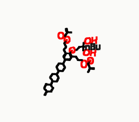 C=C(C)C(=O)OCCCc1cc(C2CCC(C3CCC(C4CCC(C)CC4)CC3)CC2)cc(CCCOC(=O)C(=C)C)c1OCCC(CO)(CO)CCCC